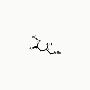 CCCCCC(O)CC(=O)OBr